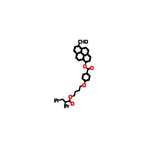 CC(C)CC(C(=O)OCCCCOc1ccc(C(=O)Oc2ccc3ccc4c(C=O)ccc5ccc2c3c54)cc1)C(C)C